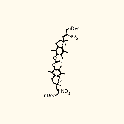 CCCCCCCCCCC/C(=C/C1(C)CCc2c(C)c(OC(=O)Oc3c(C)c(C)c4c(c3C)CCC(C)(/C=C(/CCCCCCCCCCC)[N+](=O)[O-])O4)c(C)c(C)c2O1)[N+](=O)[O-]